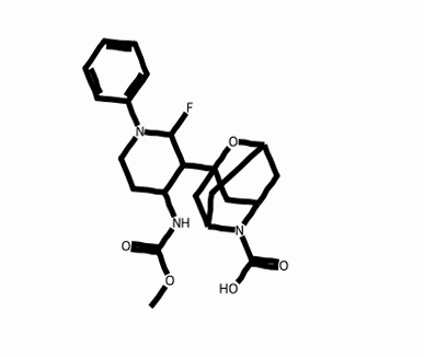 COC(=O)NC1CCN(c2ccccc2)C(F)C1C12CC3CC(CC(C1)N3C(=O)O)O2